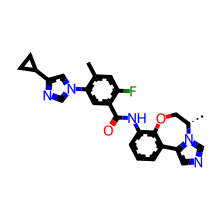 Cc1cc(F)c(C(=O)Nc2cccc3c2OC[C@H](C)n2cncc2-3)cc1-n1cnc(C2CC2)c1